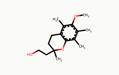 COc1c(C)c(C)c2c(c1C)CCC(C)(CCO)O2